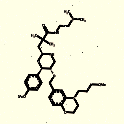 COCCCN1CCOc2ccc(CO[C@H]3CN[C@H](CC(C)(C)C(=O)NCCN(C)C)C[C@@H]3c3ccc(OC)cc3)cc21